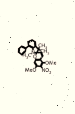 COc1cc2c(c(OC)c1[N+](=O)[O-])C=CC1(O2)N(C)c2c(-c3ccccc3)cccc2C1(C)C